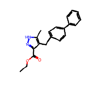 CCOC(=O)c1n[nH]c(C)c1Cc1ccc(-c2ccccc2)cc1